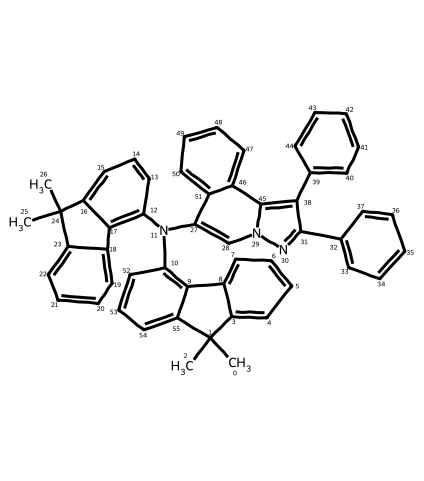 CC1(C)c2ccccc2-c2c(N(c3cccc4c3-c3ccccc3C4(C)C)c3cn4nc(-c5ccccc5)c(-c5ccccc5)c4c4ccccc34)cccc21